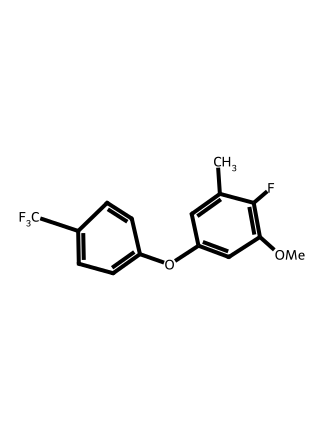 COc1cc(Oc2ccc(C(F)(F)F)cc2)cc(C)c1F